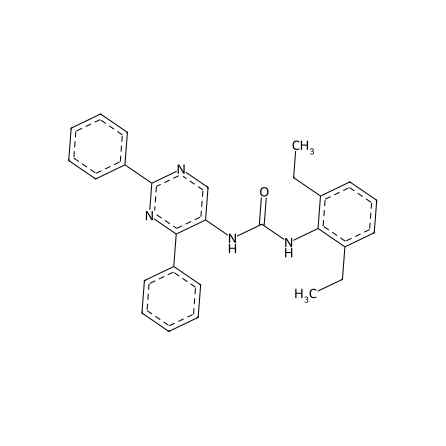 CCc1cccc(CC)c1NC(=O)Nc1cnc(-c2ccccc2)nc1-c1ccccc1